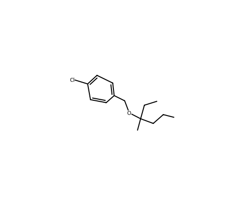 CCCC(C)(CC)OCc1ccc(Cl)cc1